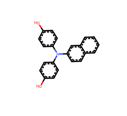 Oc1ccc(N(c2ccc(O)cc2)c2ccc3ccccc3c2)cc1